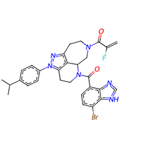 C=C(F)C(=O)N1CCc2nn(-c3ccc(C(C)C)cc3)c3c2C(C1)N(C(=O)c1ccc(Br)c2[nH]cnc12)CC3